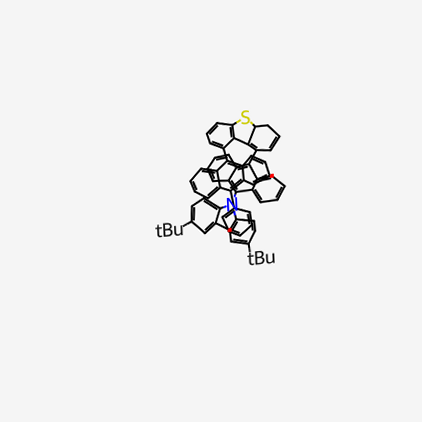 CC(C)(C)c1ccc2c(c1)c1cc(C(C)(C)C)ccc1n2-c1c2ccccc2c(C2=C3c4c(cccc4-c4c5ccccc5c(-c5ccccc5)c5ccccc45)SC3CC=C2)c2ccccc12